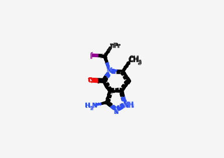 CCCC(I)n1c(C)cc2[nH]nc(N)c2c1=O